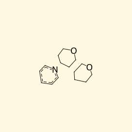 C1CCOCC1.C1CCOCC1.c1ccncc1